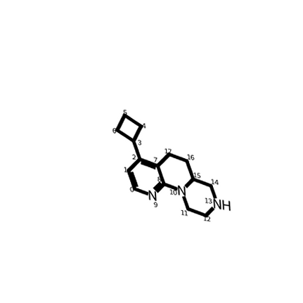 c1cc(C2CCC2)c2c(n1)N1CCNCC1CC2